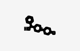 O=C1CCC(N2CCC(C(O)c3ccccc3)CC2)CC1